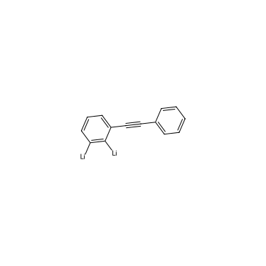 [Li][c]1cccc(C#Cc2ccccc2)[c]1[Li]